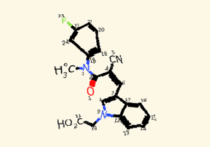 CN(C(=O)C(C#N)=Cc1cn(CC(=O)O)c2ccccc12)c1cccc(F)c1